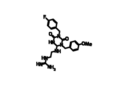 COc1ccc(CN2C(=O)N(Cc3ccc(F)cc3)C(=O)NC2NCCNC(=N)N)cc1